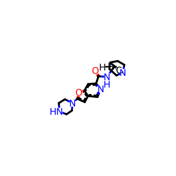 O=C(N[C@H]1CN2CCC1CC2)c1cc2oc(N3CCNCC3)cc2cn1